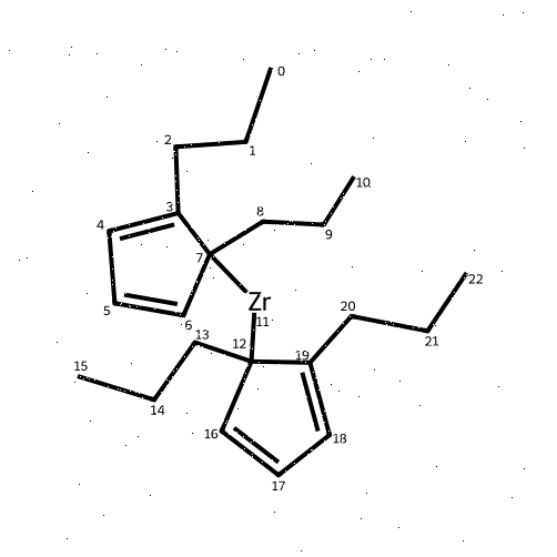 CCCC1=CC=C[C]1(CCC)[Zr][C]1(CCC)C=CC=C1CCC